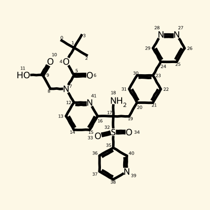 CC(C)(C)OC(=O)N(CC(=O)O)c1cccc(C(N)(Cc2ccc(-c3ccnnc3)cc2)S(=O)(=O)c2cccnc2)n1